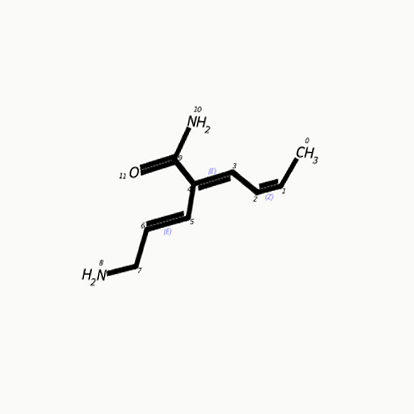 C\C=C/C=C(\C=C\CN)C(N)=O